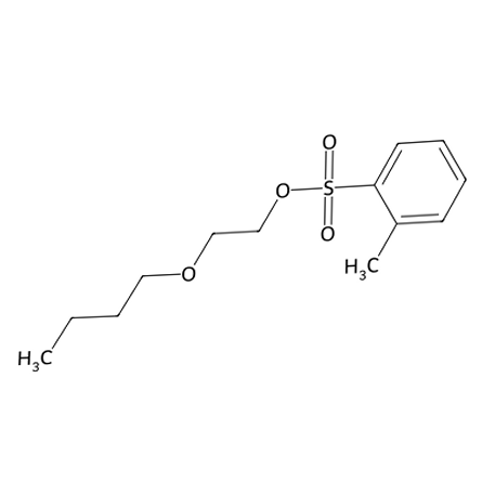 CCCCOCCOS(=O)(=O)c1ccccc1C